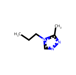 CCCn1cnnc1C